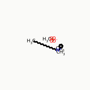 CCCCCCCCCCCCCCCC[N+](C)(C)Cc1ccccc1.COS(=O)(=O)[O-]